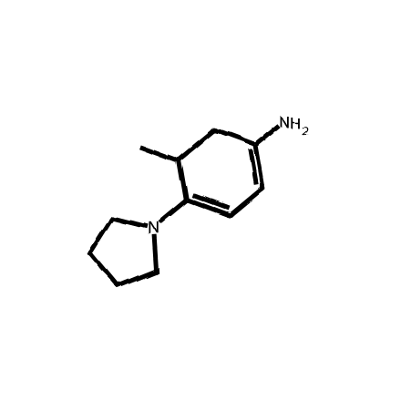 CC1CC(N)=CC=C1N1CCCC1